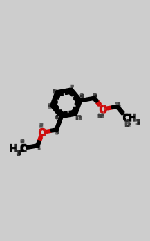 CCOCc1cccc(COCC)c1